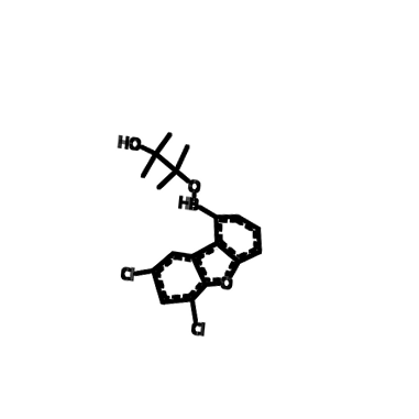 CC(C)(O)C(C)(C)OBc1cccc2oc3c(Cl)cc(Cl)cc3c12